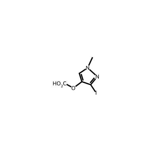 Cn1cc(OC(=O)O)c(I)n1